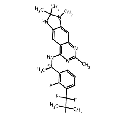 Cc1nc(N[C@H](C)c2cccc(C(F)(F)C(C)(C)O)c2F)c2cc3c(cc2n1)N(C)C(C)(C)N3